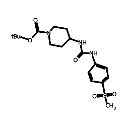 CC(C)(C)OC(=O)N1CCC(NC(=O)Nc2ccc(S(C)(=O)=O)cc2)CC1